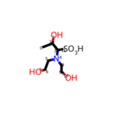 CC(O)C(N(CCO)CCO)S(=O)(=O)O